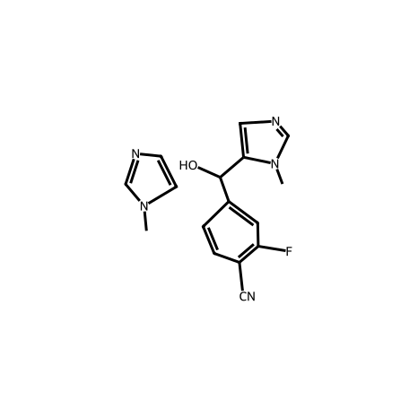 Cn1ccnc1.Cn1cncc1C(O)c1ccc(C#N)c(F)c1